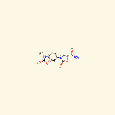 CC(C)n1c(=O)oc2cc(N3C[C@H](C(N)=O)OC3=O)ccc21